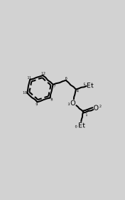 CCC(=O)OC(CC)Cc1ccccc1